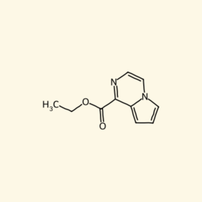 CCOC(=O)c1nccn2cccc12